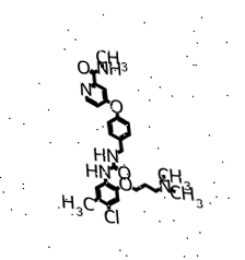 CNC(=O)c1cc(Oc2ccc(CNC(=O)Nc3cc(C)c(Cl)cc3OCCCN(C)C)cc2)ccn1